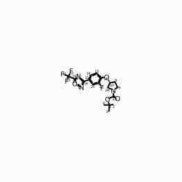 CC(C)(C)OC(=O)N1CC[C@H](Oc2ccc(-c3noc(C(F)(F)F)n3)cc2F)C1